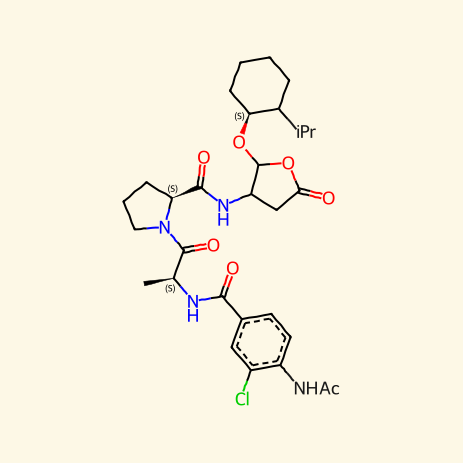 CC(=O)Nc1ccc(C(=O)N[C@@H](C)C(=O)N2CCC[C@H]2C(=O)NC2CC(=O)OC2O[C@H]2CCCCC2C(C)C)cc1Cl